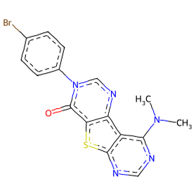 CN(C)c1ncnc2sc3c(=O)n(-c4ccc(Br)cc4)cnc3c12